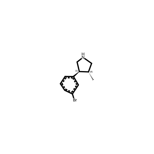 C[C@H]1CNC[C@@H]1c1cccc(Br)c1